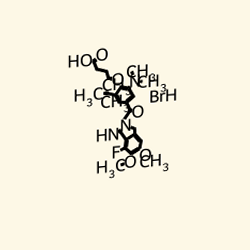 Br.COc1cc2c(c(F)c1OC)C(=N)N(CC(=O)c1cc(N(C)C)c(OCCCC(=O)O)c(C(C)(C)C)c1)C2